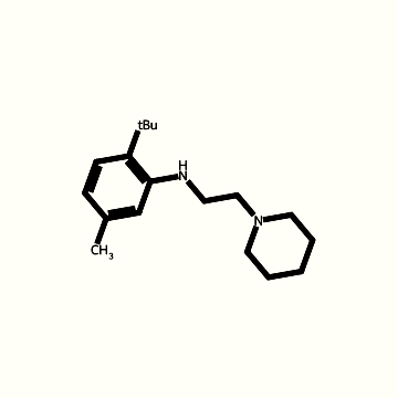 Cc1ccc(C(C)(C)C)c(NCCN2CCCCC2)c1